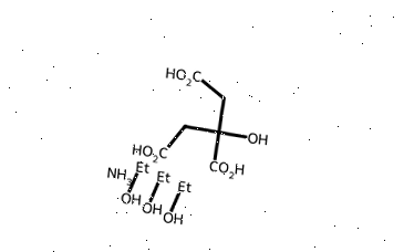 CCO.CCO.CCO.N.O=C(O)CC(O)(CC(=O)O)C(=O)O